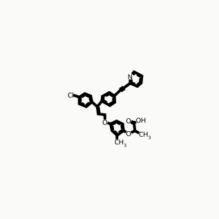 Cc1cc(OC/C=C(/c2ccc(Cl)cc2)c2ccc(C#Cc3ccccn3)cc2)ccc1OC(C)C(=O)O